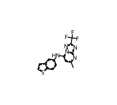 Cc1cc(Nc2ccc3sccc3c2)n2nc(C(F)(F)F)nc2n1